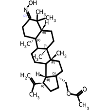 C=C(C)[C@@H]1CC[C@]2(COC(C)=O)CC[C@]3(C)C(CCC4[C@@]5(C)CC/C(=N/O)C(C)(C)[C@@H]5CC[C@]43C)[C@@H]12